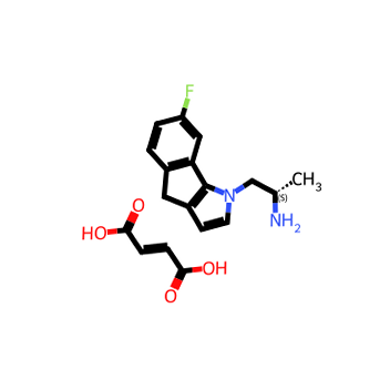 C[C@H](N)Cn1ccc2c1-c1cc(F)ccc1C2.O=C(O)C=CC(=O)O